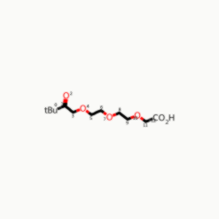 CC(C)(C)C(=O)COCCOCCOCC(=O)O